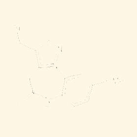 COc1ccc2c(c1)-n1ncc(CBr)c1CC(=O)N2